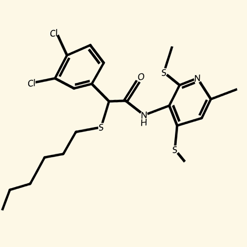 CCCCCCSC(C(=O)Nc1c(SC)cc(C)nc1SC)c1ccc(Cl)c(Cl)c1